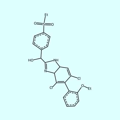 CCOc1ccccc1C1=C(Cl)C2N=C(C(O)c3ccc(S(=O)(=O)CC)cc3)NC2C=C1Cl